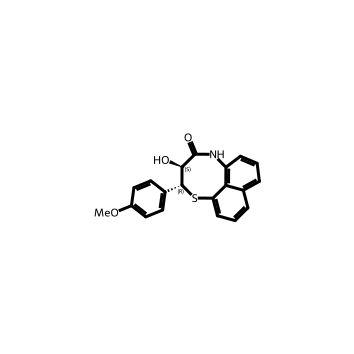 COc1ccc([C@H]2Sc3cccc4cccc(c34)NC(=O)[C@@H]2O)cc1